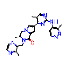 Cc1cnc(Nc2ccnnc2C)nc1-c1cc2n(c1)C[C@H](C)N(Cc1nccnc1C)C2=O